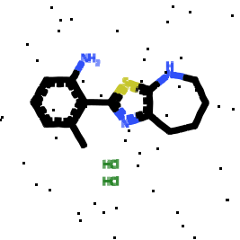 Cc1cccc(N)c1-c1nc2c(s1)NCCCC2.Cl.Cl